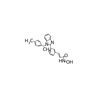 Cc1ccc([C@@H](C)n2c(-c3cccc(/C=C/C(=O)NO)c3)nc3ccccc32)cc1